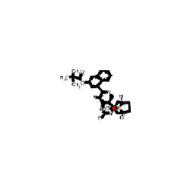 CC(C)(C)C(=O)Oc1cc(-c2ncc3c(N4[C@@H]5CC[C@H]4CC(O)C5)nc(Cl)nc3c2F)c2ccccc2c1